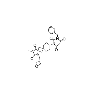 CN1C(=O)N(CC2COC2)C2(CC3(CCC(N4C(=O)CC(=O)N(Cc5ccccc5)C4=O)CC3)C2)C1=O